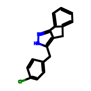 Clc1ccc(Cc2[nH]nc3c2Cc2ccccc2-3)cc1